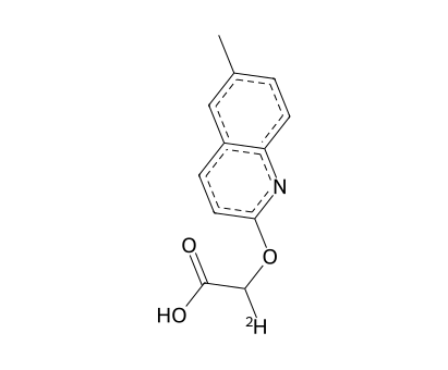 [2H]C(Oc1ccc2cc(C)ccc2n1)C(=O)O